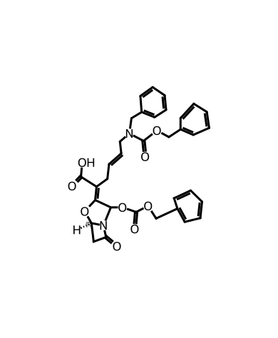 O=C(OCc1ccccc1)OC1C(=C(CC=CCN(Cc2ccccc2)C(=O)OCc2ccccc2)C(=O)O)O[C@@H]2CC(=O)N12